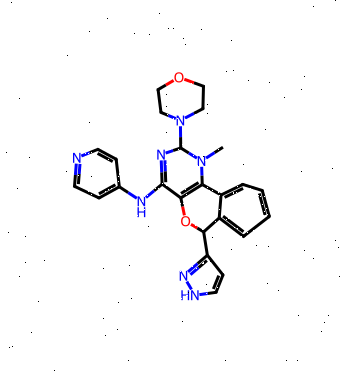 CN1C2=C(OC(c3cc[nH]n3)c3ccccc32)C(Nc2ccncc2)=NC1N1CCOCC1